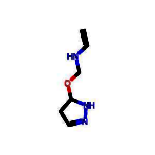 C=CNCOC1CC=NN1